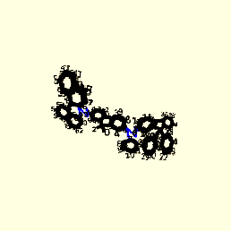 CC1(C)c2cc(N(c3ccccc3)c3ccc4c(c3)C(c3ccccc3)(c3ccccc3)c3ccccc3-4)ccc2-c2ccc(N3c4ccc5ccccc5c4-c4cccc5cccc3c45)cc21